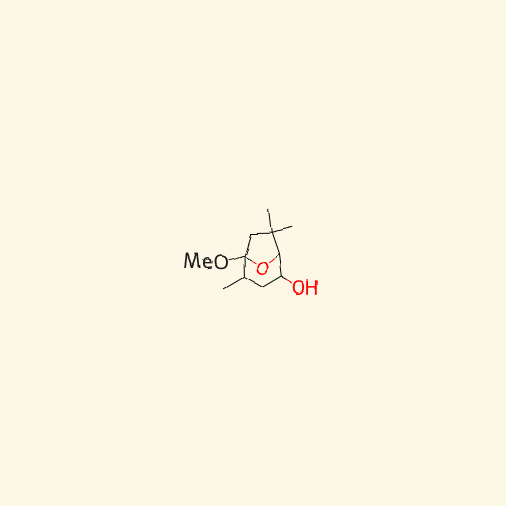 COC12CC(C)(C)C(O1)C(O)CC2C